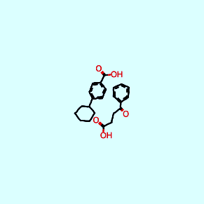 O=C(O)CCC(=O)c1ccccc1.O=C(O)c1ccc(C2CCCCC2)cc1